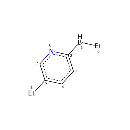 CCBc1ccc(CC)cn1